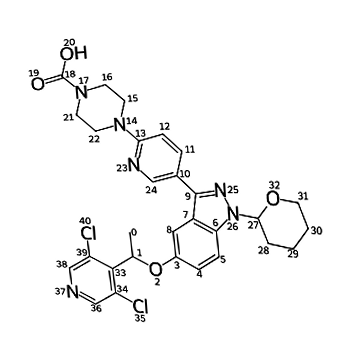 CC(Oc1ccc2c(c1)c(-c1ccc(N3CCN(C(=O)O)CC3)nc1)nn2C1CCCCO1)c1c(Cl)cncc1Cl